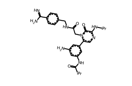 CC(C)Nc1ncc(-c2cc(N)cc(NC(=O)C(C)C)c2)n(CC(=O)NCc2ccc(C(=N)N)cc2)c1=O